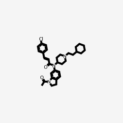 CC(=O)N1CCc2ccc(N(C(=O)C=Cc3ccc(Cl)cc3)C3CCN(CCC4CCCCC4)CC3)cc21